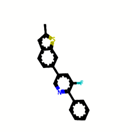 Cc1cc2ccc(-c3cnc(-c4ccccc4)c(F)c3)cc2s1